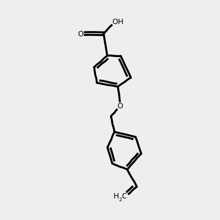 C=Cc1ccc(COc2ccc(C(=O)O)cc2)cc1